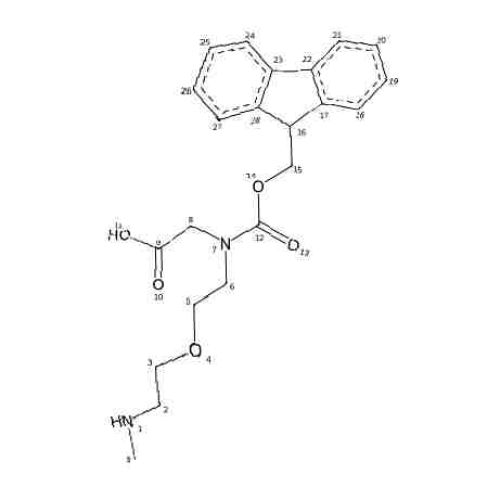 CNCCOCCN(CC(=O)O)C(=O)OCC1c2ccccc2-c2ccccc21